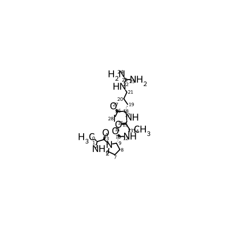 C[C@H](N)C(=O)N1CCC[C@H]1C(=O)N[C@@H](C)C(=O)N[C@@H](CCCNC(N)N)C(=O)I